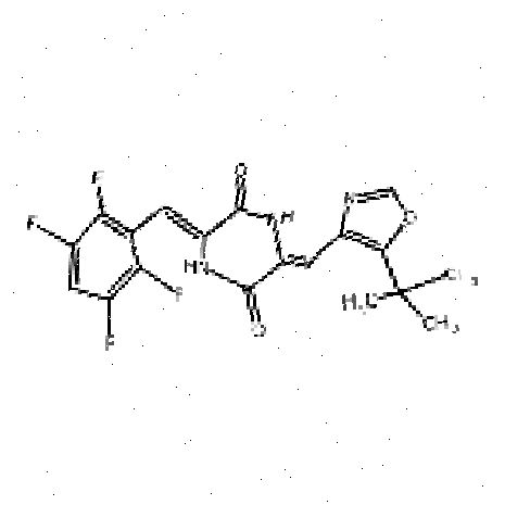 CC(C)(C)c1ocnc1/C=c1\[nH]c(=O)/c(=C/c2c(F)c(F)cc(F)c2F)[nH]c1=O